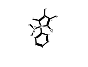 CC1=C(C)[PH](c2ccccc2)([SiH](C)C)C(Cl)=C1C